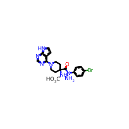 NN(C(=O)C1(NC(=O)O)CCN(c2ncnc3[nH]ccc23)CC1)c1ccc(Br)cc1